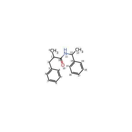 C[C](Cc1ccccc1)C(=O)NC(C)c1ccccc1